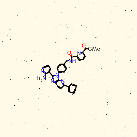 COC(=O)c1cccc(C(=O)NCc2ccc(-n3c(-c4cccnc4N)nc4ccc(-c5ccccc5)nc43)cc2)n1